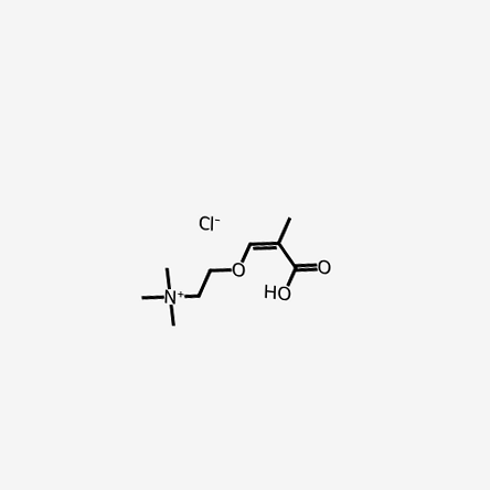 CC(=COCC[N+](C)(C)C)C(=O)O.[Cl-]